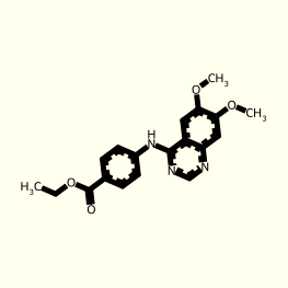 CCOC(=O)c1ccc(Nc2ncnc3cc(OC)c(OC)cc23)cc1